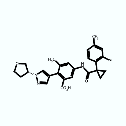 Cc1cc(NC(=O)C2(c3ccc(C(F)(F)F)cc3F)CC2)cc(C(=O)O)c1-c1cnn([C@@H]2CCOC2)c1